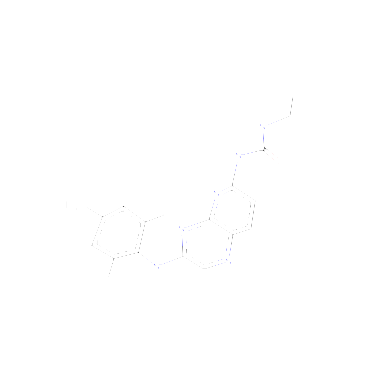 CCNC(=O)Nc1ccc2ncc(Nc3c(C)cc(C)cc3C)nc2n1